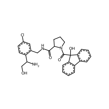 NC(CO)c1ccc(Cl)cc1CNC(=O)C1CCCN1C(=O)C1(O)c2ccccc2-c2ccccc21